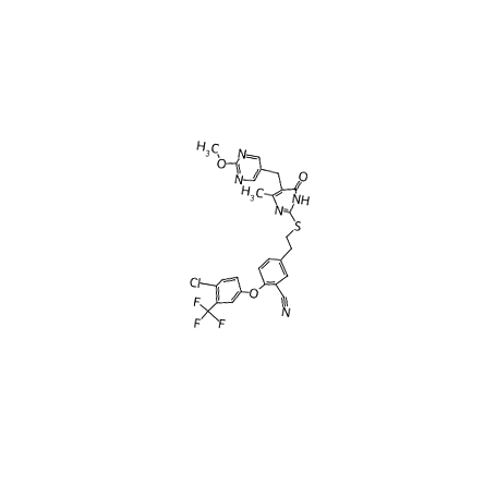 COc1ncc(Cc2c(C)nc(SCCc3ccc(Oc4ccc(Cl)c(C(F)(F)F)c4)c(C#N)c3)[nH]c2=O)cn1